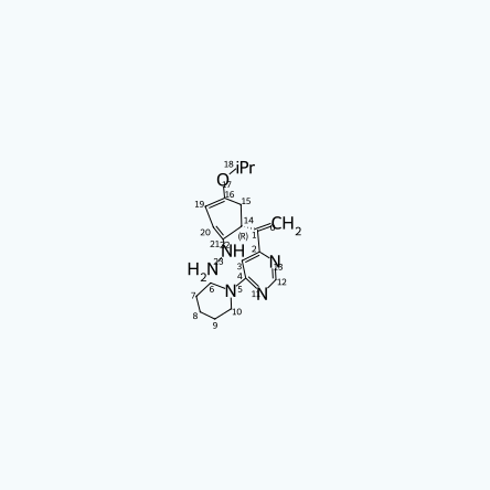 C=C(c1cc(N2CCCCC2)ncn1)[C@H]1CC(OC(C)C)=CC=C1NN